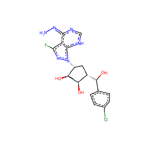 N/N=c1/nc[nH]c2c1c(F)nn2[C@@H]1C[C@H](C(O)c2ccc(Cl)cc2)[C@@H](O)[C@H]1O